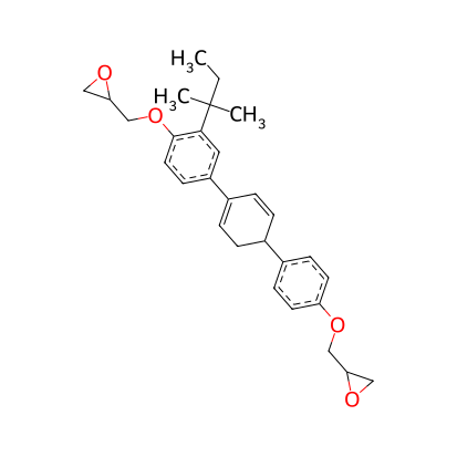 CCC(C)(C)c1cc(C2=CCC(c3ccc(OCC4CO4)cc3)C=C2)ccc1OCC1CO1